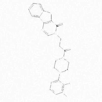 O=C(CCn1cnc2c(sc3ccccc32)c1=O)N1CCN(c2cccc(Cl)c2Cl)CC1